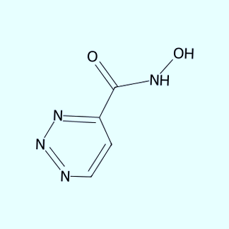 O=C(NO)c1ccnnn1